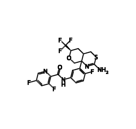 NC1=NC2(c3cc(NC(=O)c4ncc(F)cc4F)ccc3F)CO[C@@H](C(F)(F)F)CC2CS1